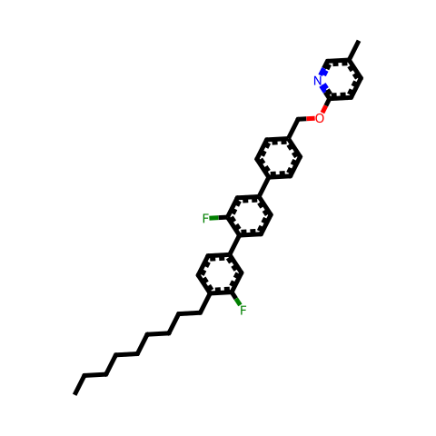 CCCCCCCCCc1ccc(-c2ccc(-c3ccc(COc4ccc(C)cn4)cc3)cc2F)cc1F